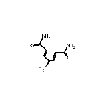 CC(C=CC(N)=O)C=CC(N)=O